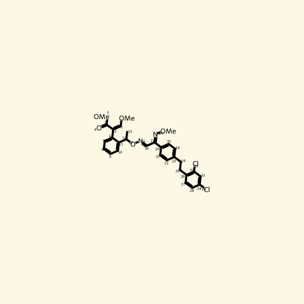 COC=C(C(=O)OC)c1ccccc1C(C)ON=CC(=NOC)c1ccc(CCc2ccc(Cl)cc2Cl)cc1